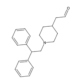 O=CCC1CCN(CC(c2ccccc2)c2ccccc2)CC1